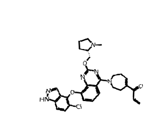 C=CC(=O)C1=CCCN(c2nc(OC[C@@H]3CCCN3C)nc3c(Oc4c(Cl)ccc5[nH]ncc45)cccc23)CC1